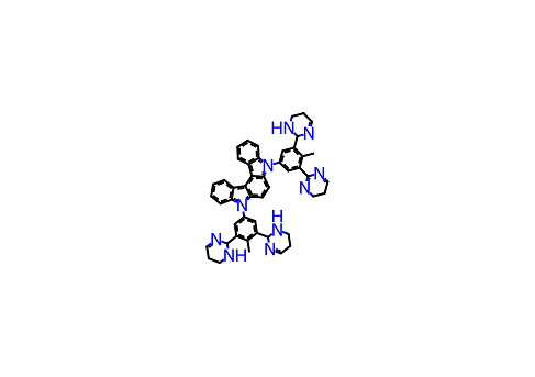 Cc1c(C2=NCCC=N2)cc(-n2c3ccccc3c3c4c5ccccc5n(-c5cc(C6N=CCCN6)c(C)c(C6N=CCCN6)c5)c4ccc32)cc1C1N=CCCN1